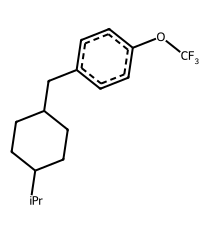 CC(C)C1CCC(Cc2ccc(OC(F)(F)F)cc2)CC1